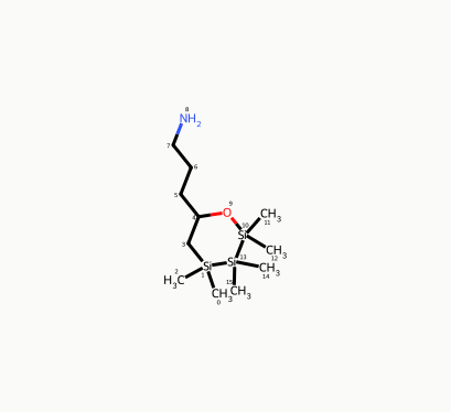 C[Si]1(C)CC(CCCN)O[Si](C)(C)[Si]1(C)C